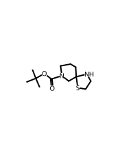 CC(C)(C)OC(=O)N1CCCC2(C1)NCCS2